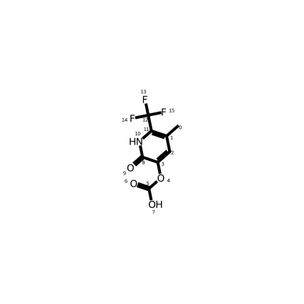 Cc1cc(OC(=O)O)c(=O)[nH]c1C(F)(F)F